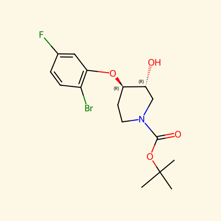 CC(C)(C)OC(=O)N1CC[C@@H](Oc2cc(F)ccc2Br)[C@H](O)C1